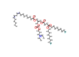 CCCCC/C=C\C/C=C\CCCCCCCC(=O)OCC(COC(=O)CCC(OCCCCCCCCF)OCCCCCCCCF)COC(=O)OCCCN(CC)CC